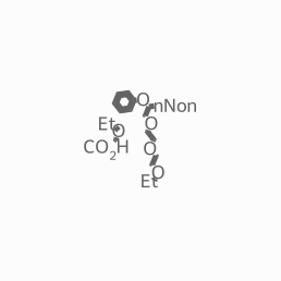 CCCCCCCCCC(COCCOCCOCC)Oc1ccccc1.CCOCC(=O)O